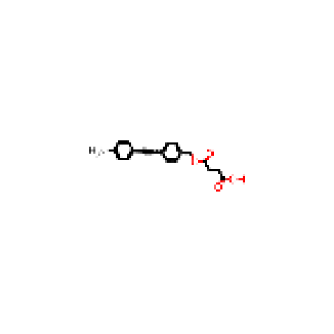 Cc1ccc(C#Cc2ccc(COC(=O)CCC(=O)O)cc2)cc1